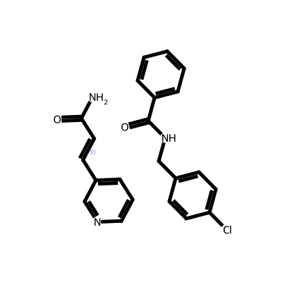 NC(=O)/C=C/c1cccnc1.O=C(NCc1ccc(Cl)cc1)c1ccccc1